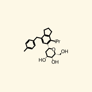 Cc1ccc(Cc2cc([C@H]3C[C@@H](O)[C@@H](O)[C@@H](CO)O3)c(C(C)C)c3c2CCC3)cc1